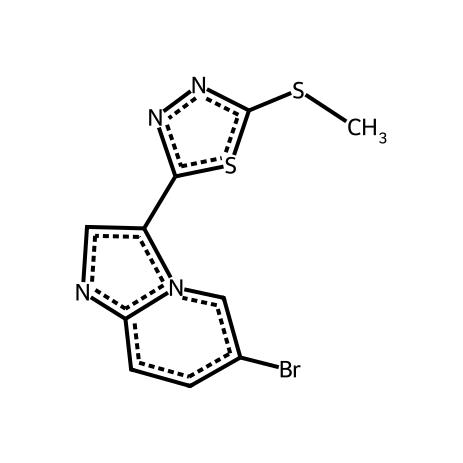 CSc1nnc(-c2cnc3ccc(Br)cn23)s1